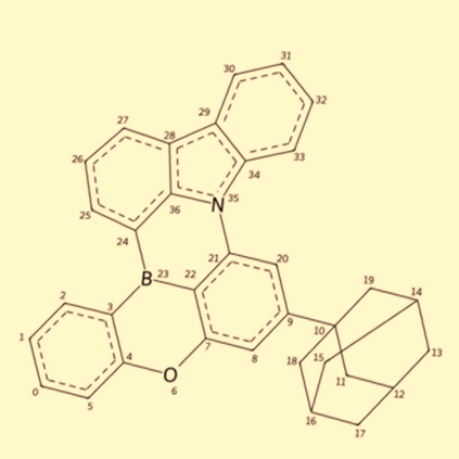 c1ccc2c(c1)Oc1cc(C34CC5CC(CC(C5)C3)C4)cc3c1B2c1cccc2c4ccccc4n-3c12